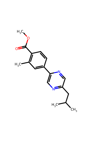 COC(=O)c1ccc(-c2cnc(CC(C)C)cn2)cc1C